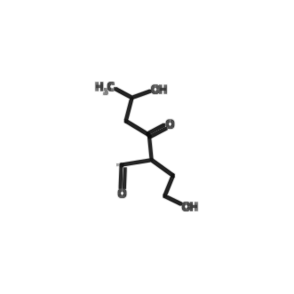 CC(O)CC(=O)C([C]=O)CCO